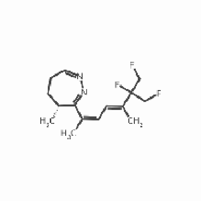 C/C(=C/C=C(\C)C(F)(CF)CF)C1=NN=CCC[C@H]1C